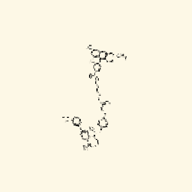 CCN1CCCC(C(=O)Cc2ccc(CCC(=O)CCCCCOC(=O)c3ccc(-c4c5c(cc6cc(C)ccc46)CC(C)CC5)c(C)c3)cc2)c2nc(-c3cccc(C(F)(F)F)c3)ccc21